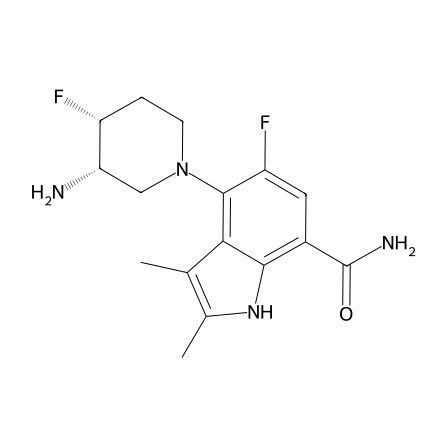 Cc1[nH]c2c(C(N)=O)cc(F)c(N3CC[C@@H](F)[C@@H](N)C3)c2c1C